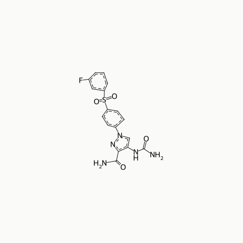 NC(=O)Nc1cn(-c2ccc(S(=O)(=O)c3cccc(F)c3)cc2)nc1C(N)=O